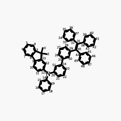 CC1(C)c2ccccc2-c2ccc(N(c3ccccc3)c3cccc(-c4cccc(C(=C(c5ccccc5)c5ccccc5)c5ccccc5)c4)c3)cc21